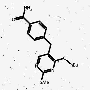 CCCCOc1nc(SC)ncc1Cc1ccc(C(N)=O)cc1